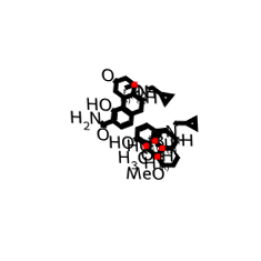 CO[C@]12CC[C@@]3(C[C@@H]1[C@](C)(O)C(C)(C)C)[C@H]1Cc4ccc(O)c5c4[C@@]3(CCN1CC1CC1)[C@H]2O5.NC(=O)c1ccc2c(c1O)[C@]13CCN(CC4CC4)[C@H](C2)[C@]1(O)CCC(=O)C3